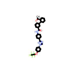 CC(=O)c1ccccc1-c1cccc(C(=O)Nc2ccc(-c3ncn(-c4ccc(OC(F)(F)C(F)(F)F)cc4)n3)cc2)c1